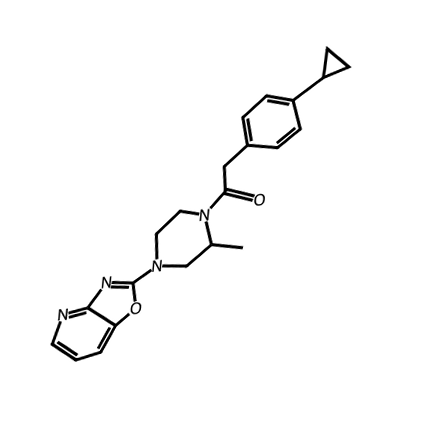 CC1CN(c2nc3ncccc3o2)CCN1C(=O)Cc1ccc(C2CC2)cc1